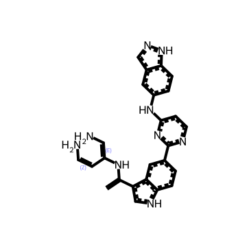 C=C(NC(/C=C\N)=C/N)c1c[nH]c2ccc(-c3nccc(Nc4ccc5[nH]ncc5c4)n3)cc12